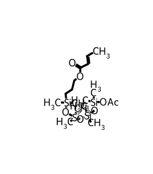 CC=CC(=O)OCCC[Si](C)(C)O[Si](C)(C)O[Si](C)(C)O[Si](C)(C)OC(C)=O